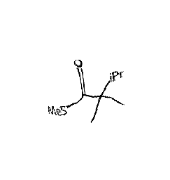 CSC(=O)C(C)(C)C(C)C